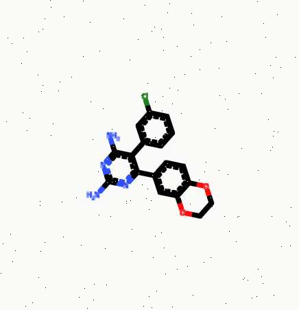 Nc1nc(N)c(-c2cccc(Cl)c2)c(-c2ccc3c(c2)OCCO3)n1